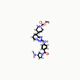 CCOC(=O)N1CC=C(c2cccn3nc(Nc4ccc(C(=O)N5CC[C@H](N(C)C)C5)cc4)nc23)CC1